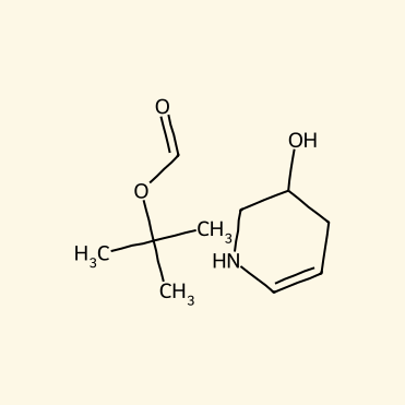 CC(C)(C)OC=O.OC1CC=CNC1